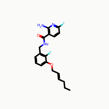 CCCC=CCOc1cccc(CNC(=O)c2ccc(F)nc2N)c1F